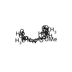 COc1cc(C(=O)NC2CC3(CCN(CC4CCN(c5ccc6c(C7CCC(=O)NC7=O)nn(C)c6c5)CC4)CC3)C2)ccc1Nc1ncc2c(n1)N(C1CCCC1)CC(F)(F)C(=O)N2C